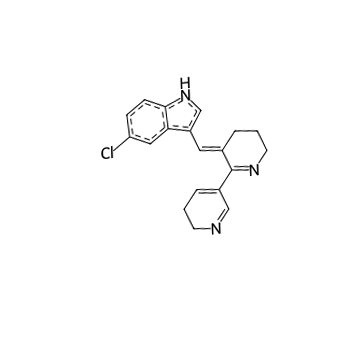 Clc1ccc2[nH]cc(/C=C3\CCCN=C3C3=CCCN=C3)c2c1